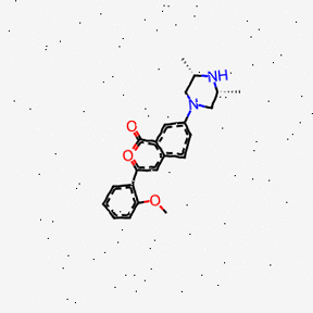 COc1ccccc1-c1cc2ccc(N3C[C@@H](C)N[C@@H](C)C3)cc2c(=O)o1